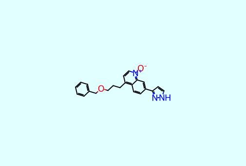 [O-][n+]1ccc(CCCOCc2ccccc2)c2ccc(-c3cc[nH]n3)cc21